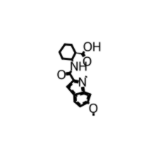 COc1ccc2cc(C(=O)N[C@H]3CCCC[C@H]3C(=O)O)n(C)c2c1